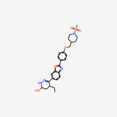 CCC1CC(O)NN=C1c1ccc2nc(-c3ccc(OCC4CCN(S(C)(=O)=O)CC4)cc3)oc2c1